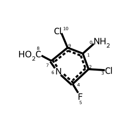 Nc1c(Cl)c(F)nc(C(=O)O)c1Cl